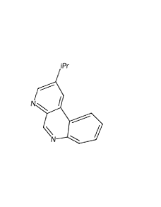 CC(C)c1cnc2cnc3ccccc3c2c1